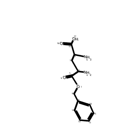 NC(CC(N)C(=O)OCc1ccccc1)C(=O)O